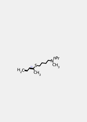 C=C/C=C(\C)SCCCCN(C)CCC